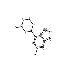 Cc1cc(C2CCCN(C)C2)n2ncnc2n1